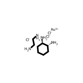 NCCN.N[C@@H]1CCCC[C@H]1N.[Au+3].[Cl-].[Cl-].[Cl-]